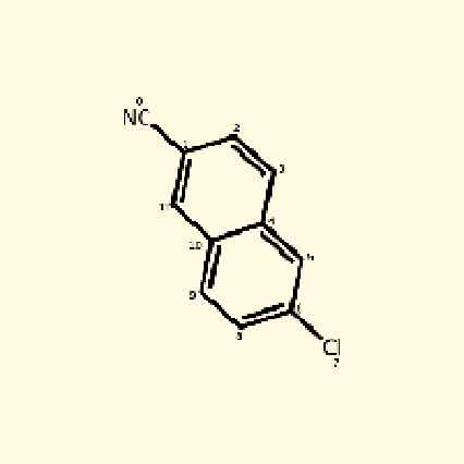 N#Cc1ccc2cc(Cl)ccc2c1